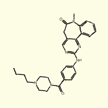 CCCCN1CCN(C(=O)c2ccc(Nc3ncc4c(n3)-c3ccccc3N(C)C(=O)C4)cc2)CC1